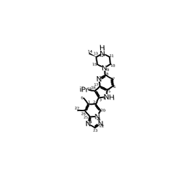 Cc1c(-c2[nH]c3ccc(N4CCN[C@H](C)C4)nc3c2C(C)C)cn2ncnc2c1C